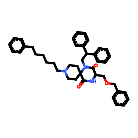 O=C1C(COCc2ccccc2)NC(=O)C2(CCN(CCCCCCc3ccccc3)CC2)N1CC(c1ccccc1)c1ccccc1